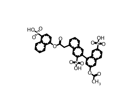 CC(=O)Oc1cc(-c2cc3cccc(CC(=O)Oc4ccc(S(=O)(=O)O)c5ccccc45)c3cc2S(=O)(=O)O)c2cc(S(=O)(=O)O)ccc2c1